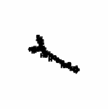 O=C(CCCc1ccccc1)NCCOCCOCCOCCNC[C@@H](O)COc1ccc(OCc2ccc(F)cc2)c(OCc2ccc(F)cc2)c1